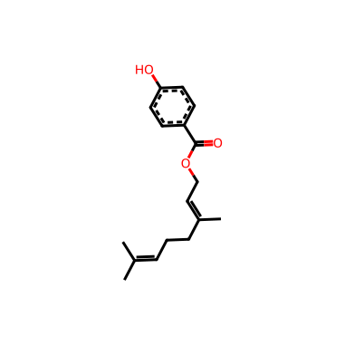 CC(C)=CCC/C(C)=C/COC(=O)c1ccc(O)cc1